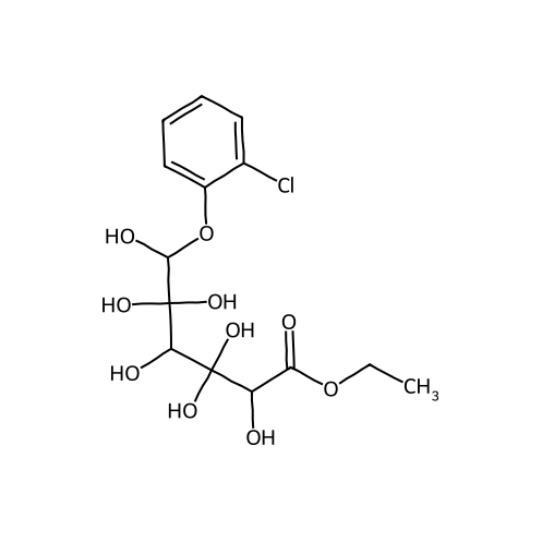 CCOC(=O)C(O)C(O)(O)C(O)C(O)(O)C(O)Oc1ccccc1Cl